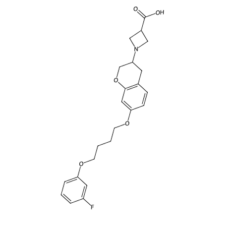 O=C(O)C1CN(C2COc3cc(OCCCCOc4cccc(F)c4)ccc3C2)C1